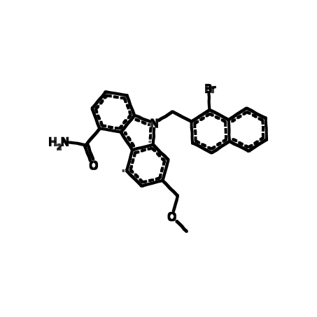 COCc1c[c]c2c3c(C(N)=O)cccc3n(Cc3ccc4ccccc4c3Br)c2c1